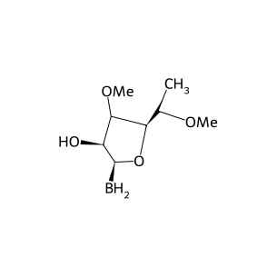 B[C@@H]1O[C@H](C(C)OC)C(OC)[C@@H]1O